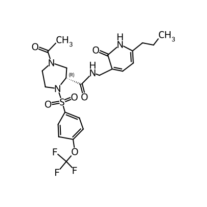 CCCc1ccc(CNC(=O)[C@H]2CN(C(C)=O)CCN2S(=O)(=O)c2ccc(OC(F)(F)F)cc2)c(=O)[nH]1